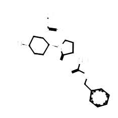 COC(=O)[C@H]1C[C@H](N)CC[C@@H]1N1CC[C@H](NC(=O)OCc2ccccc2)C1=O